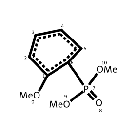 COc1ccccc1P(=O)(OC)OC